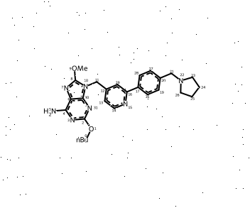 CCCCOc1nc(N)c2nc(OC)n(Cc3ccnc(-c4ccc(CN5CCCC5)cc4)c3)c2n1